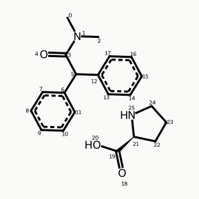 CN(C)C(=O)C(c1ccccc1)c1ccccc1.O=C(O)[C@@H]1CCCN1